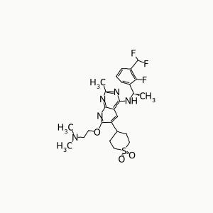 Cc1nc(N[C@H](C)c2cccc(C(F)F)c2F)c2cc(C3CCS(=O)(=O)CC3)c(OCCN(C)C)nc2n1